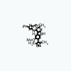 COc1cc2c(cc1-c1c(C)noc1C)[nH]c1nc(C)nc(Nc3cc(C(C)C)nn3C(C)C)c12